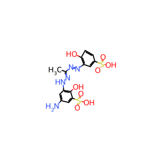 CC(N=Nc1cc(S(=O)(=O)O)ccc1O)=NNc1cc(N)cc(S(=O)(=O)O)c1O